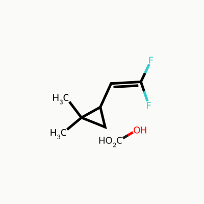 CC1(C)CC1C=C(F)F.O=C(O)O